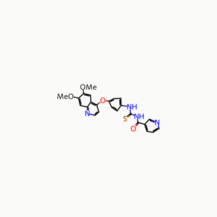 COc1cc2nccc(Oc3ccc(NC(=S)NC(=O)c4cccnc4)cc3)c2cc1OC